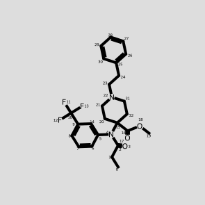 CCC(=O)N(c1cccc(C(F)(F)F)c1)C1(C(=O)OC)CCN(CCc2ccccc2)CC1